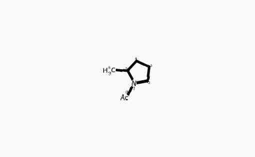 CC(=O)N1[CH]CCC1C